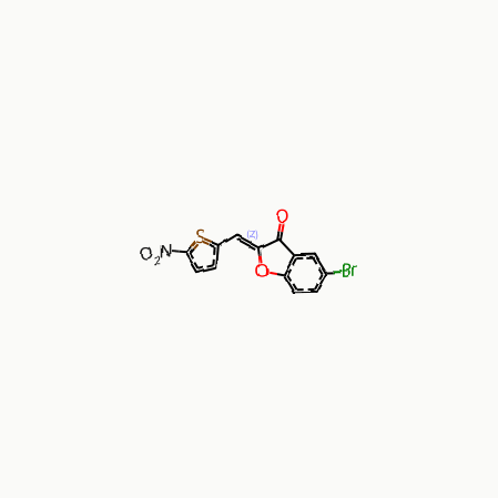 O=C1/C(=C/c2ccc([N+](=O)[O-])s2)Oc2ccc(Br)cc21